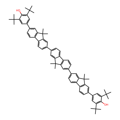 CC(C)(C)c1cc(-c2ccc3c(c2)C(C)(C)c2cc(-c4ccc5c(c4)C(C)(C)c4cc(-c6ccc7c(c6)C(C)(C)c6cc(-c8cc(C(C)(C)C)c(O)c(C(C)(C)C)c8)ccc6-7)ccc4-5)ccc2-3)cc(C(C)(C)C)c1O